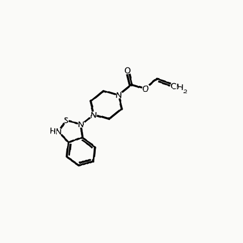 C=COC(=O)N1CCN(N2SNc3ccccc32)CC1